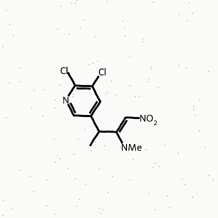 CNC(=C[N+](=O)[O-])C(C)c1cnc(Cl)c(Cl)c1